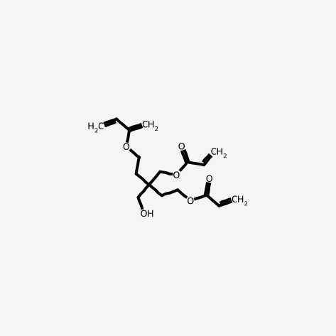 C=CC(=C)OCCC(CO)(CCOC(=O)C=C)COC(=O)C=C